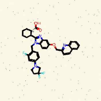 O=C(O)[C@H]1CCCCC1c1nc2cc(OCc3ccc4ccccc4n3)ccc2n1Cc1ccc(N2CCC(F)(F)C2)cc1F